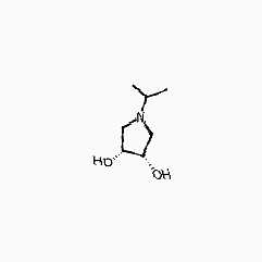 CC(C)N1C[C@@H](O)[C@@H](O)C1